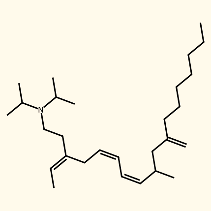 C=C(CCCCCCC)CC(C)/C=C\C=C/C/C(=C\C)CCN(C(C)C)C(C)C